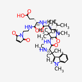 CN[C@H](C(=O)N[C@H](C(=O)N(C)[C@H](/C=C(\C)C(=O)N[C@@H](CCC(=O)O)C(=O)NCCN1C(=O)C=CC1=O)C(C)C)C(C)(C)C)C(C)(C)c1cn(C)c2ccccc12